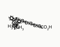 C[C@@H]1Cc2c([nH]c3ccccc23)[C@@H](c2c(F)cc(OCCOCCOCCOCCOCC(=O)O)cc2F)N1CC(C)(C)F